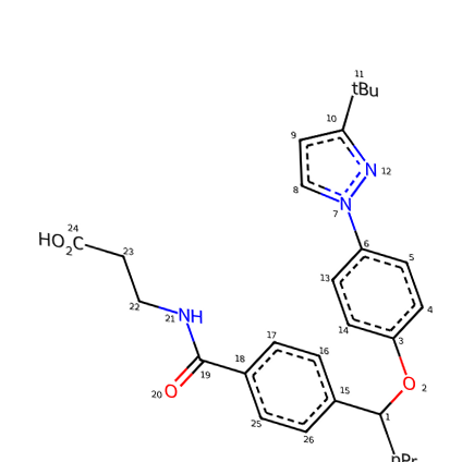 CCCC(Oc1ccc(-n2ccc(C(C)(C)C)n2)cc1)c1ccc(C(=O)NCCC(=O)O)cc1